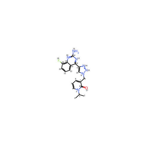 CC(C)n1cccc(Cn2cc(-c3nc(N)nc4c(F)cccc34)nn2)c1=O